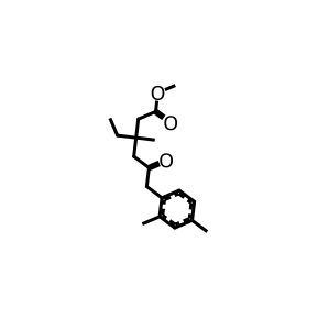 CCC(C)(CC(=O)Cc1ccc(C)cc1C)CC(=O)OC